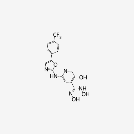 ON=C(NO)c1cc(Nc2ncc(-c3ccc(C(F)(F)F)cc3)o2)ncc1O